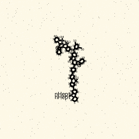 CCCCCCCC1(CCCCCCC)c2ccccc2-c2ccc(-c3ccc4c(c3)C(C)(C)c3cc(-c5ccc(-c6cc7c(c8c6oc6ccccc68)-c6ccc(N(c8cc(C)cc(C)c8)c8ccc9c(c8)C(C)(C)c8c%10c(c%11oc%12ccccc%12c%11c8-9)-c8ccccc8C%10(C)C)cc6C7(C)C)cc5)ccc3-4)cc21